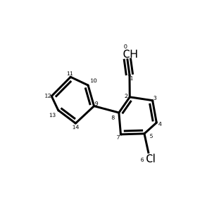 C#Cc1ccc(Cl)cc1-c1ccccc1